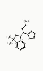 CNCCC(c1cccs1)N1CC(C)(C)c2ccccc21